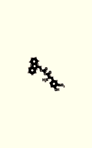 N[C@@H](Cc1ccc(O)c([N+](=O)[O-])c1)C(=O)OC(=O)OCC1c2ccccc2-c2ccccc21